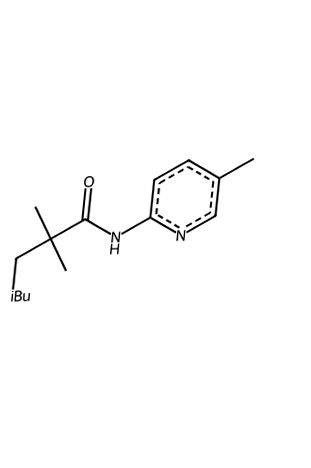 CCC(C)CC(C)(C)C(=O)Nc1ccc(C)cn1